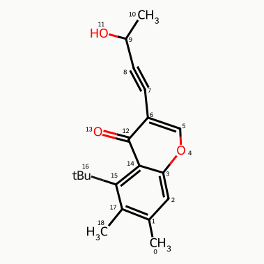 Cc1cc2occ(C#CC(C)O)c(=O)c2c(C(C)(C)C)c1C